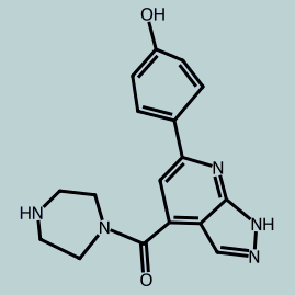 O=C(c1cc(-c2ccc(O)cc2)nc2[nH]ncc12)N1CCNCC1